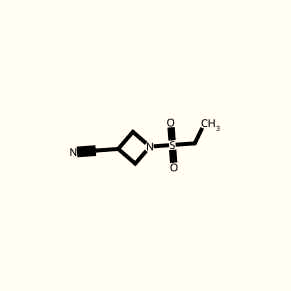 CCS(=O)(=O)N1CC(C#N)C1